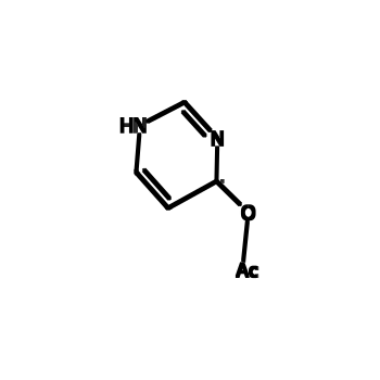 CC(=O)O[C]1C=CNC=N1